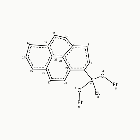 CCO[Si](CC)(OCC)c1ccc2ccc3cccc4ccc1c2c34